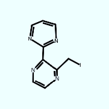 ICc1nccnc1-c1ncccn1